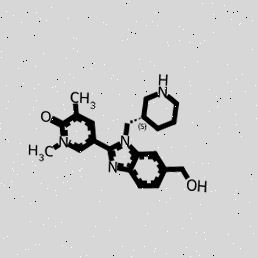 Cc1cc(-c2nc3ccc(CO)cc3n2C[C@H]2CCCNC2)cn(C)c1=O